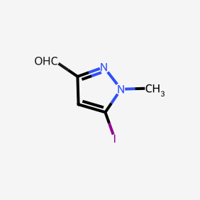 Cn1nc(C=O)cc1I